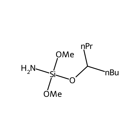 CCCCC(CCC)O[Si](N)(OC)OC